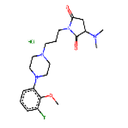 COc1c(F)cccc1N1CCN(CCCN2C(=O)CC(N(C)C)C2=O)CC1.Cl